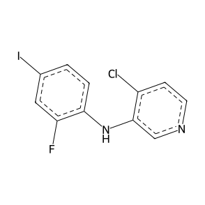 Fc1cc(I)ccc1Nc1cnccc1Cl